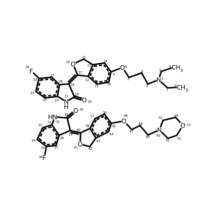 CCN(CC)CCCOc1ccc2c(c1)COC2=C1C(=O)Nc2ccc(F)cc21.O=C1Nc2ccc(F)cc2C1=C1OCc2cc(OCCCN3CCOCC3)ccc21